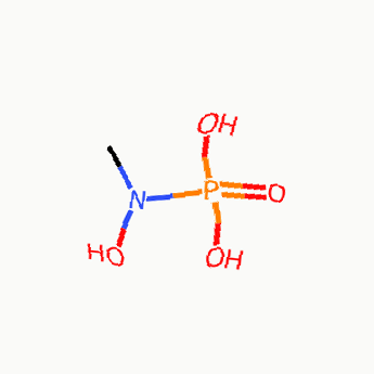 CN(O)P(=O)(O)O